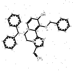 C=Cc1cnc2n1C[C@H](C(c1ccccc1)c1ccccc1)N1C=CC(O)C(OCc3ccccc3)=C21